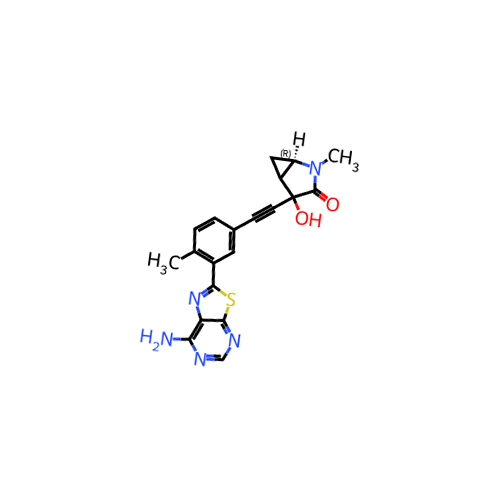 Cc1ccc(C#CC2(O)C(=O)N(C)[C@@H]3CC32)cc1-c1nc2c(N)ncnc2s1